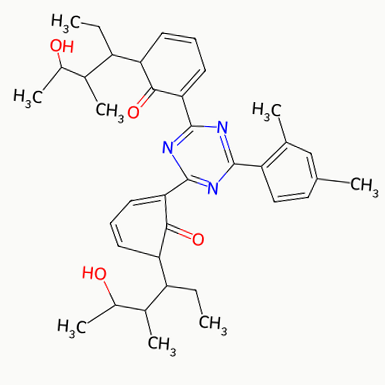 CCC(C1C=CC=C(c2nc(C3=CC=CC(C(CC)C(C)C(C)O)C3=O)nc(-c3ccc(C)cc3C)n2)C1=O)C(C)C(C)O